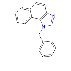 c1ccc(Cn2cnc3ccc4ccccc4c32)cc1